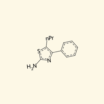 CCCc1sc(N)nc1-c1ccccc1